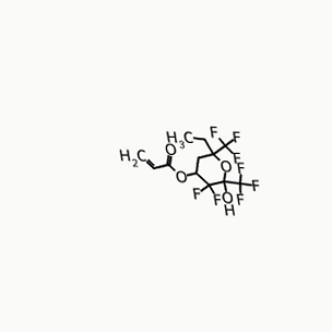 C=CC(=O)OC1CC(CC)(C(F)(F)F)OC(O)(C(F)(F)F)C1(F)F